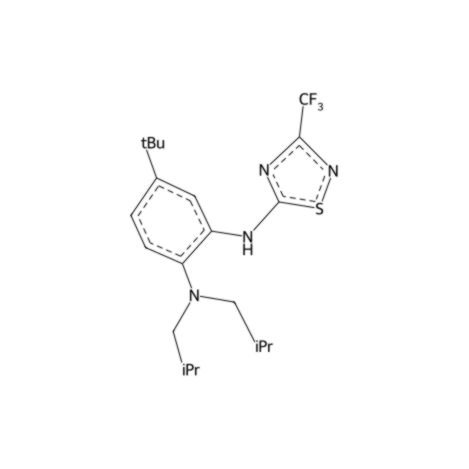 CC(C)CN(CC(C)C)c1ccc(C(C)(C)C)cc1Nc1nc(C(F)(F)F)ns1